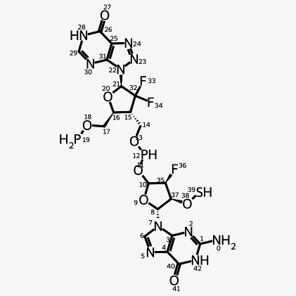 Nc1nc2c(ncn2[C@@H]2OC(OPOC[C@@H]3[C@@H](COP)O[C@@H](n4nnc5c(=O)[nH]cnc54)C3(F)F)[C@@H](F)[C@H]2OS)c(=O)[nH]1